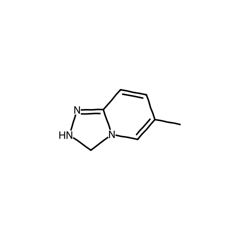 CC1=CN2CNN=C2C=C1